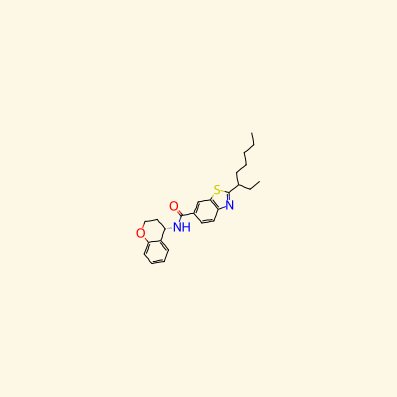 CCCCCC(CC)c1nc2ccc(C(=O)N[C@H]3CCOc4ccccc43)cc2s1